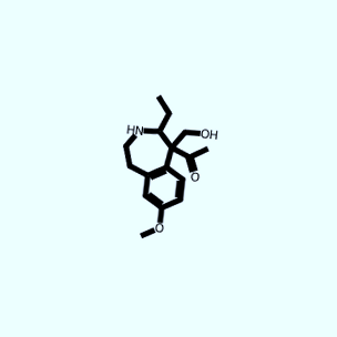 CCC1NCCc2cc(OC)ccc2C1(CO)C(C)=O